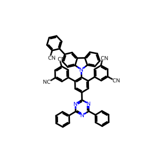 N#Cc1cc(C#N)cc(-c2cc(-c3nc(-c4ccccc4)nc(-c4ccccc4)n3)cc(-c3cc(C#N)cc(C#N)c3)c2-n2c3ccccc3c3cc(-c4ccccc4C#N)ccc32)c1